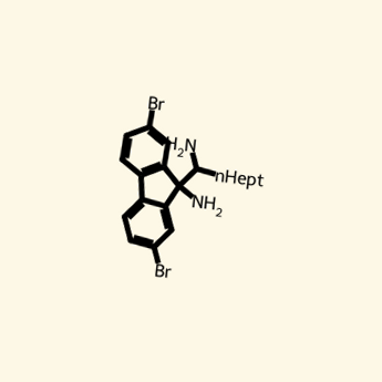 CCCCCCCC(N)C1(N)c2cc(Br)ccc2-c2ccc(Br)cc21